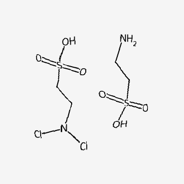 NCCS(=O)(=O)O.O=S(=O)(O)CCN(Cl)Cl